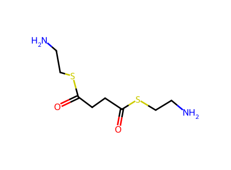 NCCSC(=O)CCC(=O)SCCN